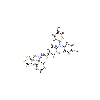 Cc1ccc(N(c2ccc(C)cc2)c2ccc(/C=N/N(Cc3cccs3)c3ccccc3)cc2)cc1